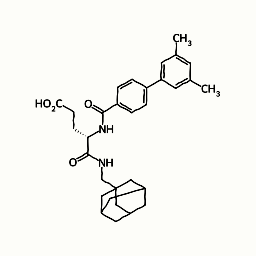 Cc1cc(C)cc(-c2ccc(C(=O)N[C@@H](CCC(=O)O)C(=O)NCC34CC5CC(CC(C5)C3)C4)cc2)c1